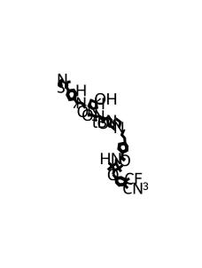 Cc1ncsc1-c1ccc([C@H](C)NC(=O)[C@@H]2C[C@@H](O)CN2C(=O)C(NC(=O)CN2CCN(CCCc3ccc(C(=O)NC4C(C)(C)C(Oc5ccc(C#N)c(C(F)(F)F)c5)C4(C)C)cc3)CC2)C(C)(C)C)cc1